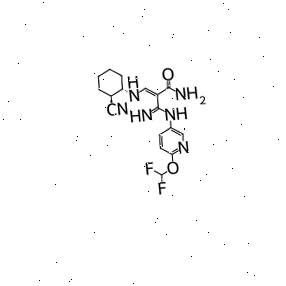 N#C[C@H]1CCCC[C@@H]1N/C=C(\C(=N)Nc1ccc(OC(F)F)nc1)C(N)=O